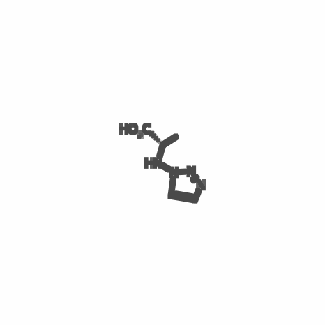 C[C@H](Nn1ccnn1)C(=O)O